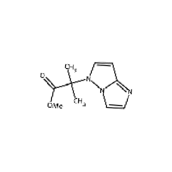 COC(=O)C(C)(C)n1ccc2nccn21